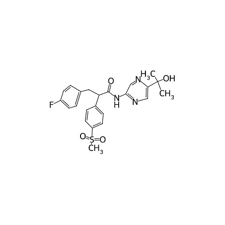 CC(C)(O)c1cnc(NC(=O)C(Cc2ccc(F)cc2)c2ccc(S(C)(=O)=O)cc2)cn1